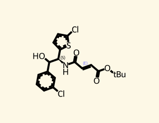 CC(C)(C)OC(=O)/C=C/C(=O)N[C@H](c1ccc(Cl)s1)C(O)c1cccc(Cl)c1